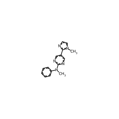 CN(c1ccccc1)c1ncc(-c2nccn2C)cn1